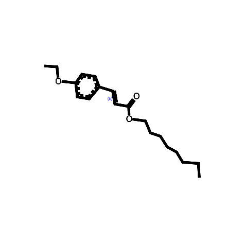 CCCCCCCCOC(=O)/C=C/c1ccc(OCC)cc1